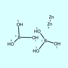 OB(O)O.OB(O)O.[Zn].[Zn]